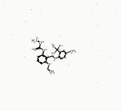 CCOc1cccc(OC(=O)OC)c1COc1ccc(C)cc1C(F)(F)F